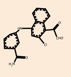 NC(=O)c1cccc(Nc2cc(Cl)c(C(=O)C=O)c3ccccc23)c1